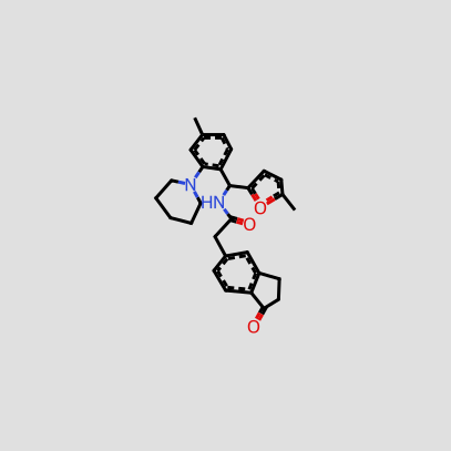 Cc1ccc(C(NC(=O)Cc2ccc3c(c2)CCC3=O)c2ccc(C)o2)c(N2CCCCC2)c1